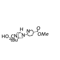 COC(=O)c1ccc(N2C[C@@]3(C(C)(C)C)C[C@H]2CN3C(=O)O)nc1